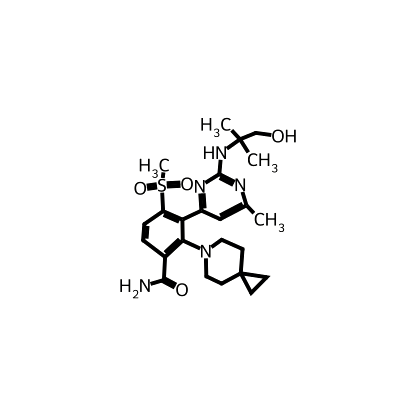 Cc1cc(-c2c(S(C)(=O)=O)ccc(C(N)=O)c2N2CCC3(CC2)CC3)nc(NC(C)(C)CO)n1